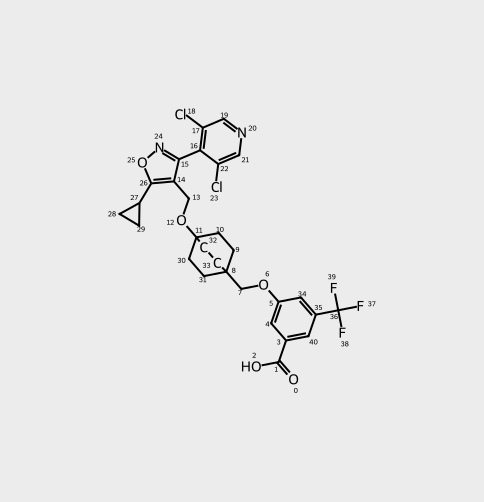 O=C(O)c1cc(OCC23CCC(OCc4c(-c5c(Cl)cncc5Cl)noc4C4CC4)(CC2)CC3)cc(C(F)(F)F)c1